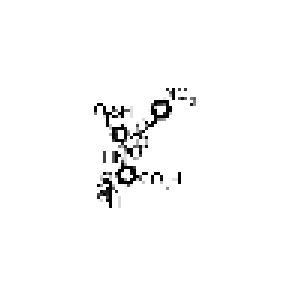 CS(=O)(=O)Nc1cc(NC(=O)[C@@H]2C[C@@H](CC(=O)S)CN2C(=O)OCc2ccc([N+](=O)[O-])cc2)cc(C(=O)O)c1